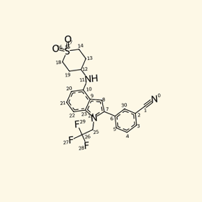 N#Cc1cccc(-c2cc3c(NC4CCS(=O)(=O)CC4)cccc3n2CC(F)(F)F)c1